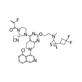 C=C(F)C(=O)N1CCN(c2nc(OCCN(C)C3S[C@@]3(C)C3CC(F)(F)C3)nc3c2CCN(c2cncc4cccc(Cl)c24)C3)C[C@@H]1CC#N